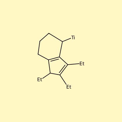 CCC1=C(CC)C(CC)C2=C1[CH]([Ti])CCC2